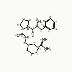 N=C(N)N1CCCC(CNC(=O)[C@@H]2CCCN2C(=O)C(N)Cc2ccccc2)C1